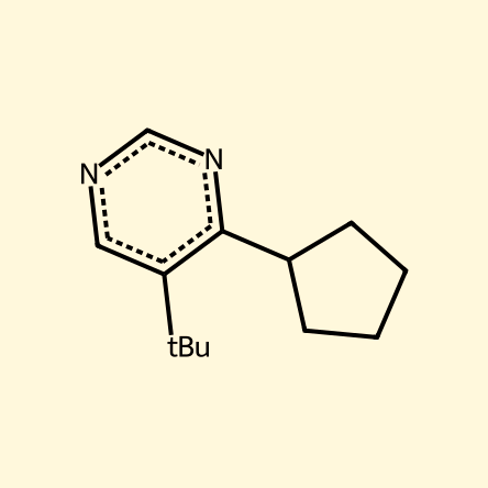 CC(C)(C)c1cncnc1C1CCCC1